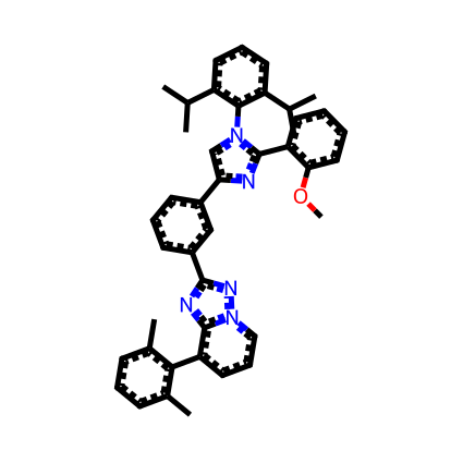 COc1ccccc1-c1nc(-c2cccc(-c3nc4c(-c5c(C)cccc5C)cccn4n3)c2)cn1-c1c(C(C)C)cccc1C(C)C